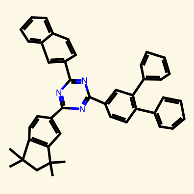 CC1(C)CC(C)(C)c2cc(-c3nc(-c4ccc(-c5ccccc5)c(-c5ccccc5)c4)nc(-c4ccc5ccccc5c4)n3)ccc21